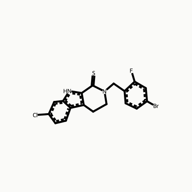 Fc1cc(Br)ccc1CN1CCc2c([nH]c3cc(Cl)ccc23)C1=S